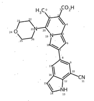 Cc1c(C(=O)O)cc2cc(-c3cc(C#N)c4[nH]ccc4c3)cn2c1N1CCOCC1